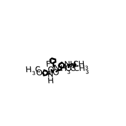 COc1ccc(NC(=O)Oc2cc3cc(NC(=O)CC(C)(C)C)ccc3n2Cc2ccccc2F)cc1